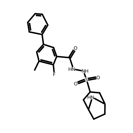 Cc1cc(-c2ccccc2)cc(C(=O)NNS(=O)(=O)C2CC3CCC(C2)N3)c1F